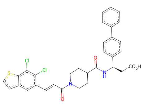 O=C(O)C[C@@H](NC(=O)C1CCN(C(=O)/C=C/c2cc3ccsc3c(Cl)c2Cl)CC1)c1ccc(-c2ccccc2)cc1